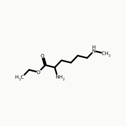 CCOC(=O)C(N)CCCCNC